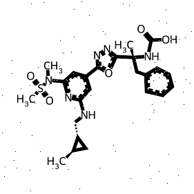 C[C@@H]1C[C@H]1CNc1cc(-c2nnc([C@@](C)(Cc3ccccc3)NC(=O)O)o2)cc(N(C)S(C)(=O)=O)n1